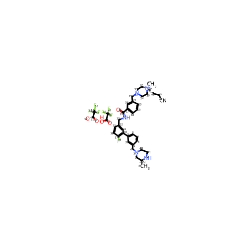 C[C@H]1CN(Cc2cccc(-c3cc(CNC(=O)c4cccc(CN5CC[N+](C)(CCCC#N)CC5)c4)ccc3F)c2)CCN1.O=C(O)C(F)(F)F.O=C([O-])C(F)(F)F